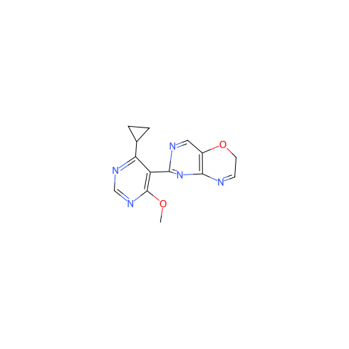 COc1ncnc(C2CC2)c1-c1ncc2c(n1)N=CCO2